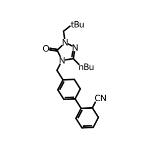 CCCCc1nn(CC(C)(C)C)c(=O)n1CC1=CC=C(C2=CC=CCC2C#N)CC1